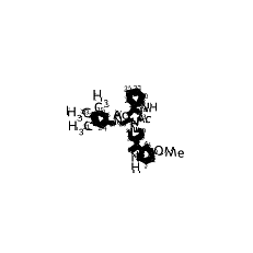 COc1ccc2[nH]cc(C3=CCN(N(C(C)=O)[C@H](Cc4c[nH]c5ccccc45)CN(Cc4cc(C)c(C)c(C)c4)C(C)=O)CC3)c2c1